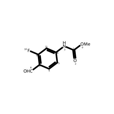 COC(=O)Nc1ccc(C=O)c(F)c1